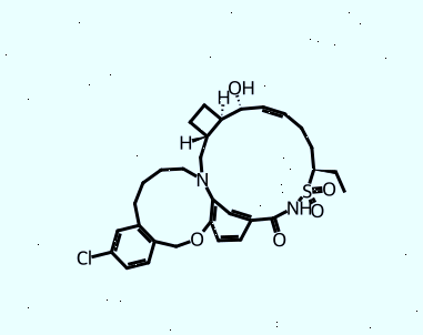 CC[C@@H]1CC/C=C\[C@@H](O)[C@@H]2CC[C@H]2CN2CCCCc3cc(Cl)ccc3COc3ccc(cc32)C(=O)NS1(=O)=O